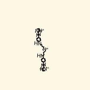 Cn1cc[n+](C)c1N=Nc1ccc(NCCC[N+](C)(C)CCCNc2ccc(N=Nc3n(C)cc[n+]3C)cc2)cc1